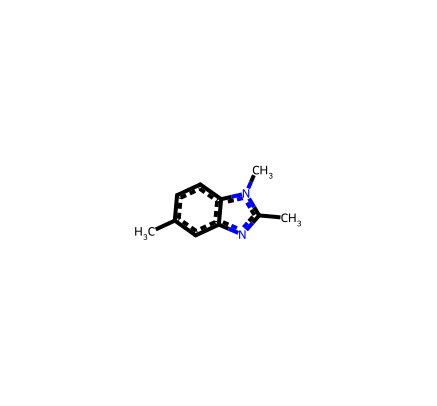 Cc1ccc2c(c1)nc(C)n2C